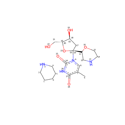 C1CCNCC1.Cc1cn([C@@]2(C3CNCCO3)C[C@H](O)[C@@H](CO)O2)c(=O)[nH]c1=O